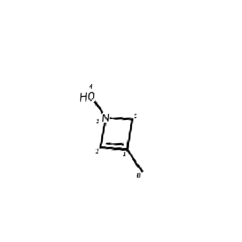 CC1=CN(O)C1